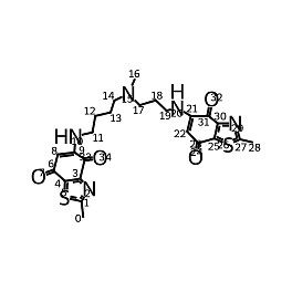 Cc1nc2c(s1)C(=O)C=C(NCCCCN(C)CCCNC1=CC(=O)c3sc(C)nc3C1=O)C2=O